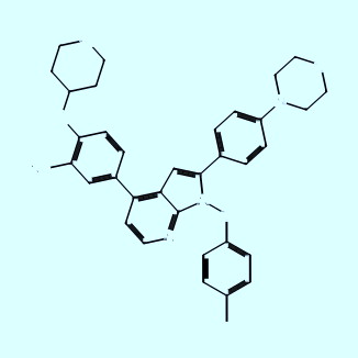 Cc1ccc(Sn2c(-c3ccc(N4CCOCC4)cc3)cc3c(-c4ccc(OC5CCOCC5)c(C#N)c4)ccnc32)cc1